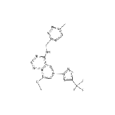 COc1cc(-c2ncc(C(F)(F)F)s2)cc2c(NCc3ccc(C)nn3)ncnc12